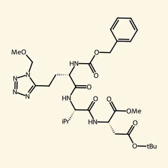 COCn1nnnc1CC[C@H](NC(=O)OCc1ccccc1)C(=O)N[C@H](C(=O)N[C@@H](CC(=O)OC(C)(C)C)C(=O)OC)C(C)C